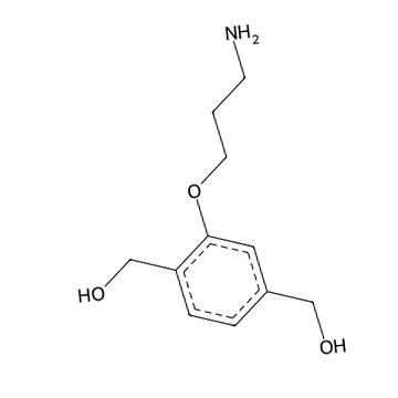 NCCCOc1cc(CO)ccc1CO